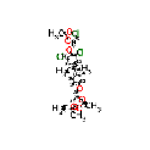 CC(=O)OC(CCl)COc1c(Cl)cc(C(C)(C)c2ccc(OCC(COC(C)C)OC(C)=O)cc2)cc1Cl